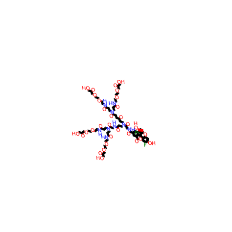 O=C(CCC(=O)N(CCC(=O)NCCOCCOCC(=O)CO)CCC(=O)NCCOCCOCC(=O)CO)CCN(CCC(=O)NCC(=O)N(CCC(=O)NCCOCCOCC(=O)CO)CCC(=O)NCCOCCOCC(=O)CO)C(=O)CNC(=O)c1ccc2c(c1)C(=O)OC21c2cc(F)c(O)cc2Oc2ccc(O)c(F)c21